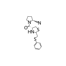 N#C[C@@H]1CCCN1C(=O)[C@@H]1CSC(CSc2ccccc2)N1